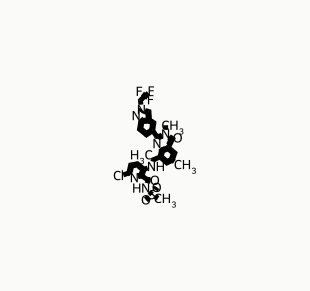 Cc1cc([C@@H](C)Nc2ccc(Cl)nc2C(=O)NS(C)(=O)=O)c2nc(-c3ccc4nn(CC(F)(F)F)cc4c3)n(C)c(=O)c2c1